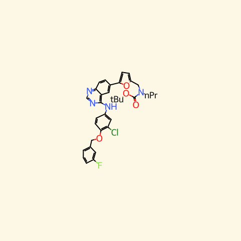 CCCN(Cc1ccc(-c2ccc3ncnc(Nc4ccc(OCc5cccc(F)c5)c(Cl)c4)c3c2)o1)C(=O)OC(C)(C)C